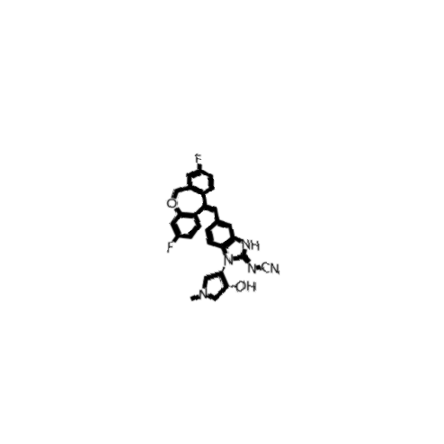 CN1C[C@@H](O)[C@@H](n2c(=NC#N)[nH]c3cc(C=C4c5ccc(F)cc5COc5cc(F)ccc54)ccc32)C1